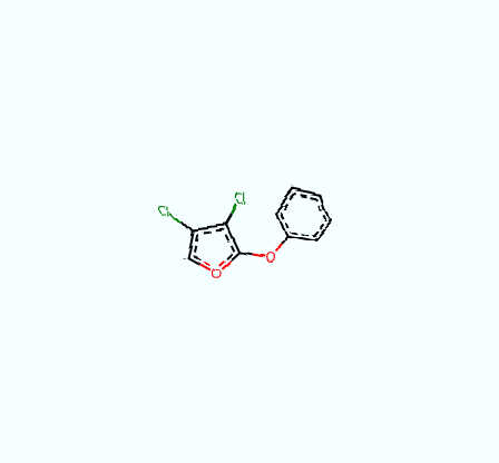 Clc1[c]oc(Oc2ccccc2)c1Cl